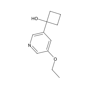 CCOc1cncc(C2(O)CCC2)c1